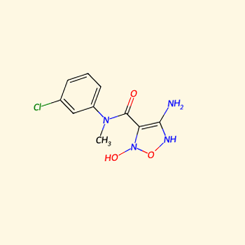 CN(C(=O)C1=C(N)NON1O)c1cccc(Cl)c1